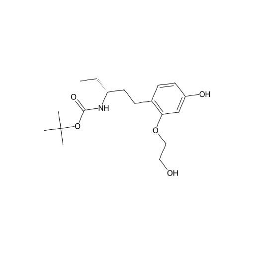 CC[C@H](CCc1ccc(O)cc1OCCO)NC(=O)OC(C)(C)C